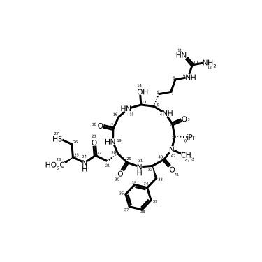 CC(C)[C@H]1C(=O)N[C@@H](CCCNC(=N)N)C(O)NCC(=O)N[C@@H](CC(=O)N[C@H](CS)C(=O)O)C(=O)N[C@H](Cc2ccccc2)C(=O)N1C